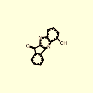 O=C1c2ccccc2-c2nc3c(O)cccc3nc21